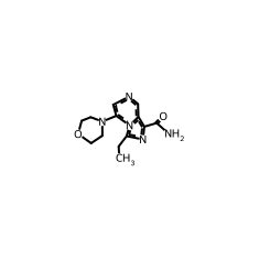 CCc1nc(C(N)=O)c2cncc(N3CCOCC3)n12